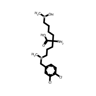 CB(O)CCCCC(N)(CCCN(C)Cc1ccc(Cl)c(Cl)c1)C(=O)O